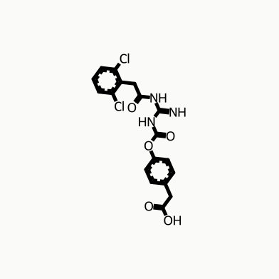 N=C(NC(=O)Cc1c(Cl)cccc1Cl)NC(=O)Oc1ccc(CC(=O)O)cc1